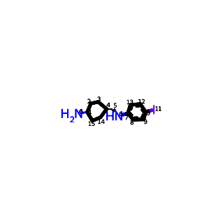 N[C@H]1CC[C@H](CNc2ccc(I)cc2)CC1